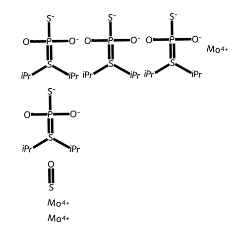 CC(C)S(C(C)C)=P([O-])([O-])[S-].CC(C)S(C(C)C)=P([O-])([O-])[S-].CC(C)S(C(C)C)=P([O-])([O-])[S-].CC(C)S(C(C)C)=P([O-])([O-])[S-].O=S.[Mo+4].[Mo+4].[Mo+4]